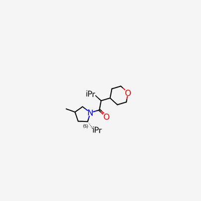 CC1C[C@@H](C(C)C)N(C(=O)C(C(C)C)C2CCOCC2)C1